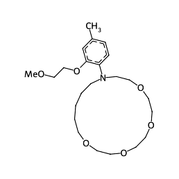 COCCOc1cc(C)ccc1N1CCCCCOCCOCCOCCOCC1